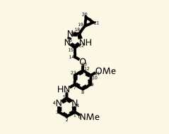 CNc1ccnc(Nc2ccc(OC)c(OCc3nnc(C4CC4)[nH]3)c2)n1